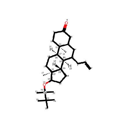 C=CCC1CC2CC(=O)CC[C@]2(C)[C@@H]2CC[C@]3(C)C(O[Si](C)(C)C(C)(C)C)CC[C@H]3[C@H]12